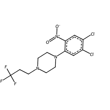 O=[N+]([O-])c1cc(Cl)c(Cl)cc1N1CCN(CCC(F)(F)F)CC1